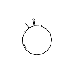 CC1OC/C=C\CCCCCCCCOC1=O